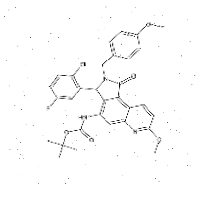 COc1ccc(CN2C(=O)c3c(c(NC(=O)OC(C)(C)C)cc4nc(OC)ccc34)C2c2cc(F)ccc2Cl)cc1